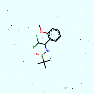 COc1ccccc1C(N[S@@+]([O-])C(C)(C)C)C(F)F